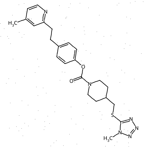 Cc1ccnc(CCc2ccc(OC(=O)N3CCC(CSc4nnnn4C)CC3)cc2)c1